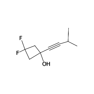 CC(C)C#CC1(O)CC(F)(F)C1